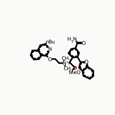 CCCCc1cc2ccccc2c(OCC[N+](C)(C)[C@@H](C(=O)OC)c2ccc(C(N)=O)cc2-c2cc3ccccc3o2)n1